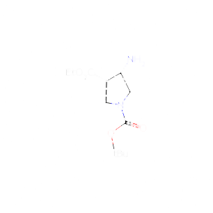 CCOC(=O)[C@H]1CN(C(=O)OC(C)(C)C)C[C@H]1N